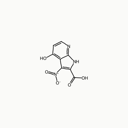 O=C(O)c1[nH]c2nccc(O)c2c1[N+](=O)[O-]